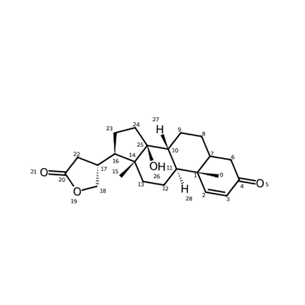 C[C@]12C=CC(=O)CC1CC[C@@H]1[C@@H]2CC[C@]2(C)[C@@H]([C@@H]3COC(=O)C3)CC[C@]12O